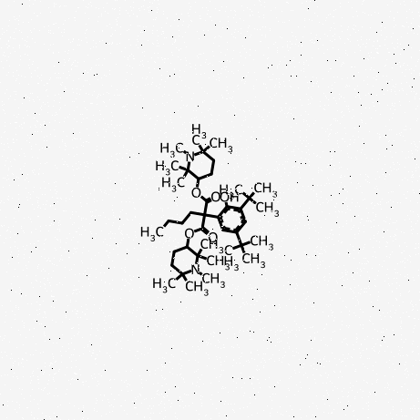 CCCCC(C(=O)OC1CCC(C)(C)N(C)C1(C)C)(C(=O)OC1CCC(C)(C)N(C)C1(C)C)c1cc(C(C)(C)C)cc(C(C)(C)C)c1O